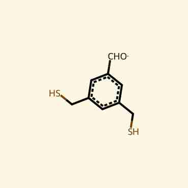 O=[C]c1cc(CS)cc(CS)c1